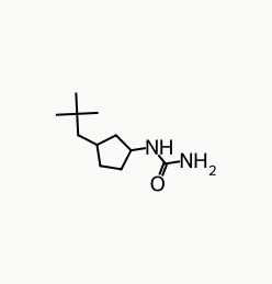 CC(C)(C)CC1CCC(NC(N)=O)C1